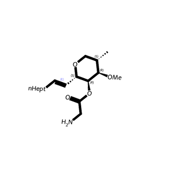 CCCCCCC/C=C/[C@@H]1OC[C@H](C)[C@@H](OC)[C@H]1OC(=O)CN